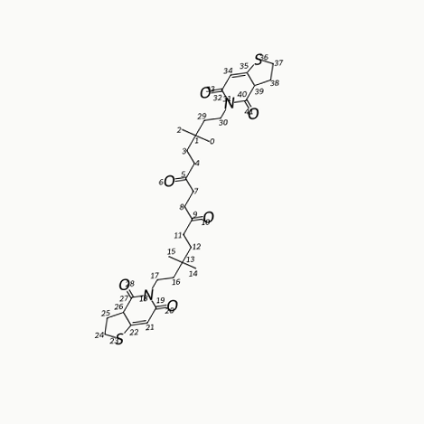 CC(C)(CCC(=O)CCC(=O)CCC(C)(C)CCN1C(=O)C=C2SCCC2C1=O)CCN1C(=O)C=C2SCCC2C1=O